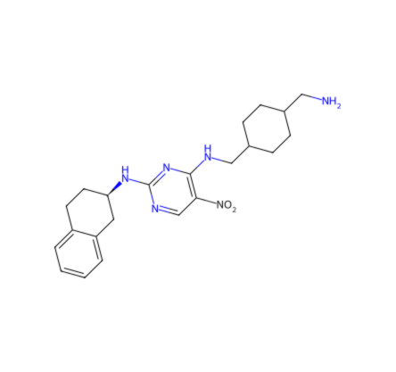 NCC1CCC(CNc2nc(N[C@@H]3CCc4ccccc4C3)ncc2[N+](=O)[O-])CC1